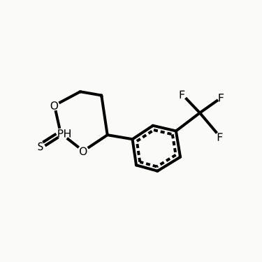 FC(F)(F)c1cccc(C2CCO[PH](=S)O2)c1